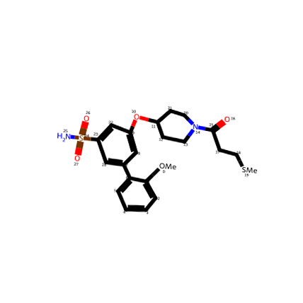 COc1ccccc1-c1cc(OC2CCN(C(=O)CCSC)CC2)cc(S(N)(=O)=O)c1